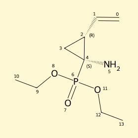 C=C[C@H]1C[C@]1(N)P(=O)(OCC)OCC